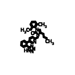 CCCCc1cn(-c2c(C)cccc2CC)c(=O)n1Cc1ccc(-c2ccccc2-c2nnn[nH]2)cn1